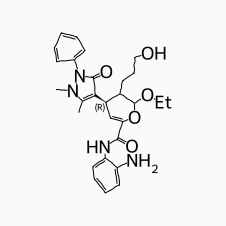 CCOC1OC(C(=O)Nc2ccccc2N)=C[C@@H](c2c(C)n(C)n(-c3ccccc3)c2=O)C1CCCO